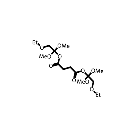 CCOCC(OC)(OC)OC(=O)CCC(=O)OC(COCC)(OC)OC